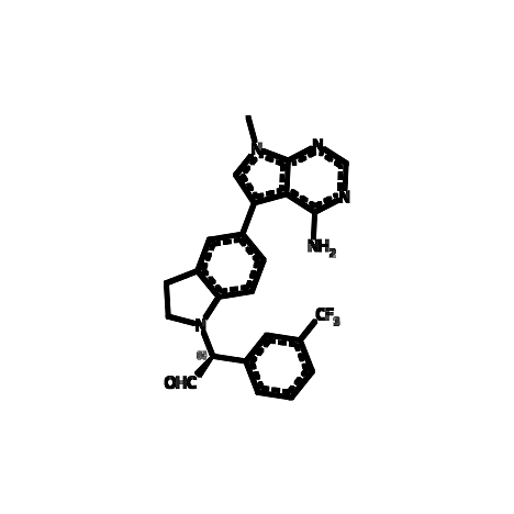 Cn1cc(-c2ccc3c(c2)CCN3[C@H](C=O)c2cccc(C(F)(F)F)c2)c2c(N)ncnc21